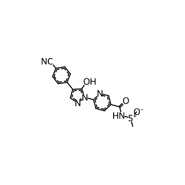 C[S+]([O-])NC(=O)c1ccc(-n2ncc(-c3ccc(C#N)cc3)c2O)nc1